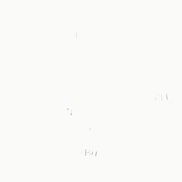 C=CCC/C(=N\SC(C)(C)C)c1ccccc1F